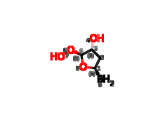 B[C@@H]1C[C@@H](O)[C@H](OO)O1